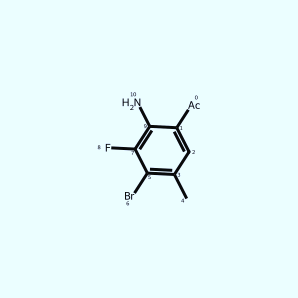 CC(=O)c1cc(C)c(Br)c(F)c1N